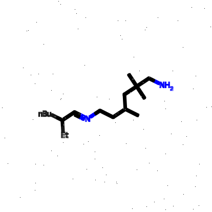 CCCCC(C=NCCC(C)CC(C)(C)CN)CC